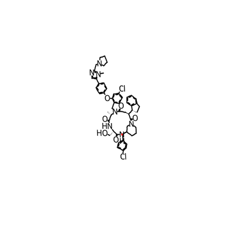 C[C@H]1C(=O)N[C@@H](CO)C(=O)N[C@@]2(Cc3ccc(Cl)cc3)CCCN(C2)C(=O)[C@H]([C@H]2CCc3ccccc32)CC(=O)N1Cc1ccc(Cl)cc1Oc1ccc(-c2cnc(CN3CCCC3)n2C)cc1